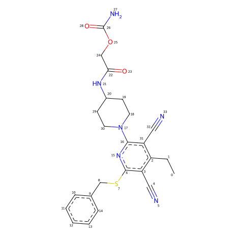 CCc1c(C#N)c(SCc2ccccc2)nc(N2CCC(NC(=O)COC(N)=O)CC2)c1C#N